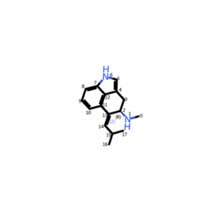 CN[C@@H]1Cc2c[nH]c3cccc(c23)/C1=C/C(C)C